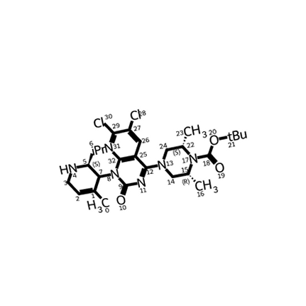 CC1=CCN[C@@H](C(C)C)C1n1c(=O)nc(N2C[C@@H](C)N(C(=O)OC(C)(C)C)[C@@H](C)C2)c2cc(Cl)c(Cl)nc21